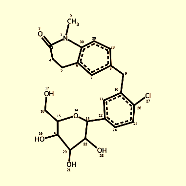 CN1C(=O)CCc2cc(Cc3cc(C4OC(CO)C(O)C(O)C4O)ccc3Cl)ccc21